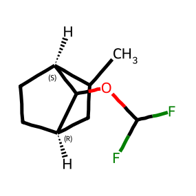 CC1C[C@H]2CC[C@@H]1C2OC(F)F